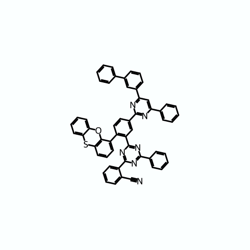 N#Cc1ccccc1-c1nc(-c2ccccc2)nc(-c2cc(-c3nc(-c4ccccc4)cc(-c4cccc(-c5ccccc5)c4)n3)ccc2-c2cccc3c2Oc2ccccc2S3)n1